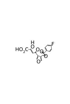 O=C(O)C(O)=CC(=O)c1cocc1S(=O)(=O)c1ccc(F)cc1